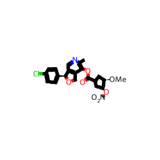 CO[C@H]1CC(C(=O)Oc2c(C)ncc3c2CO[C@H]3c2ccc(Cl)cc2)C[C@H]1O[N+](=O)[O-]